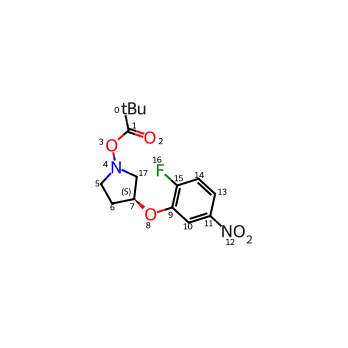 CC(C)(C)C(=O)ON1CC[C@H](Oc2cc([N+](=O)[O-])ccc2F)C1